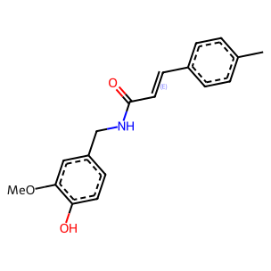 COc1cc(CNC(=O)/C=C/c2ccc(C)cc2)ccc1O